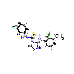 Cc1cccc(NC2=NCCN2C(=S)Nc2cccc(F)c2)c1Cl